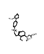 NN(CC(=O)O)C1=C(CI)C(/C=C\S(=O)(=O)c2ccc(-c3ccccc3Cl)cc2)CCC1